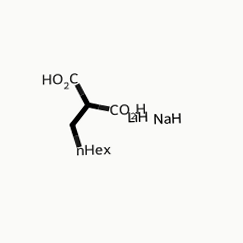 CCCCCCCC(C(=O)O)C(=O)O.[LiH].[NaH]